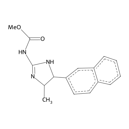 COC(=O)NC1=NC(C)C(c2ccc3ccccc3c2)N1